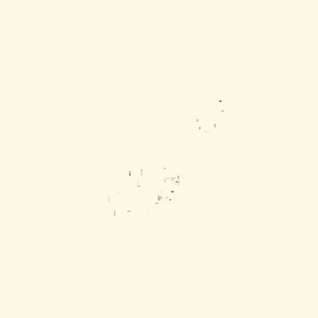 Cn1nnc(OC2CCC(c3ccc(OC(F)(F)F)cc3)CC2)c1C(=O)OOC(=O)C1CCCCC1